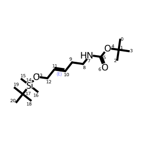 CC(C)(C)OC(=O)NCC/C=C/CO[Si](C)(C)C(C)(C)C